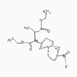 CCOC(=O)C(C)N(C(=O)OCC)c1ccc2cc([N+](=O)[O-])ccc2c1